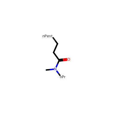 [CH2]CCCCCCC(=O)N(C)CCC